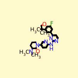 CN(C)C1CCCN(c2ccc(Nc3nccc(-c4cc(F)c5c(c4)C(C)(C)CO5)n3)nc2)C1=O